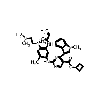 C=CC(=O)Nc1cc(Nc2ncc(C(=O)OC3CCC3)c(-c3cn(C)c4ccccc34)n2)c(C)cc1N(C)CCN(C)C